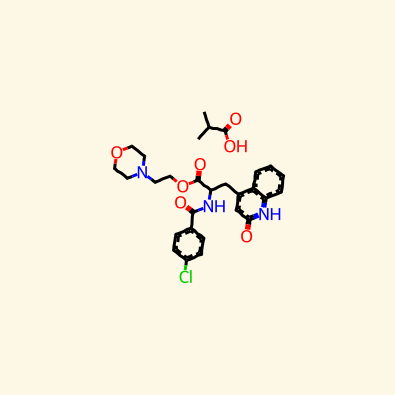 CC(C)C(=O)O.O=C(NC(Cc1cc(=O)[nH]c2ccccc12)C(=O)OCCN1CCOCC1)c1ccc(Cl)cc1